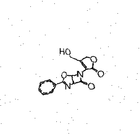 O=C1OCC(CO)=C1N1C(=O)C2N=C(c3ccccc3)OC21